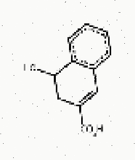 O=C(O)C1=Cc2ccccc2C(O)C1